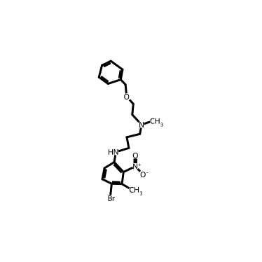 Cc1c(Br)ccc(NCCCN(C)CCOCc2ccccc2)c1[N+](=O)[O-]